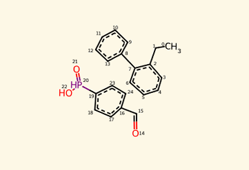 CCc1ccccc1-c1ccccc1.O=Cc1ccc([PH](=O)O)cc1